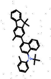 Cc1cc2c(cc1-c1ccc(N(c3ccccc3C)C(C)(C)C)c3ccccc13)C(C)(C)c1ccccc1-2